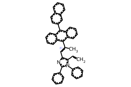 C=Cc1c(/C=C(\C)c2c3ccccc3c(-c3ccc4ccccc4c3)c3ccccc23)nc(-c2ccccc2)n1-c1ccccc1